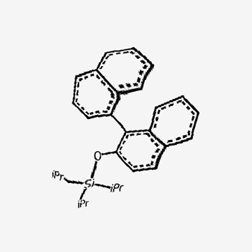 CC(C)[Si](Oc1ccc2ccccc2c1-c1cccc2ccccc12)(C(C)C)C(C)C